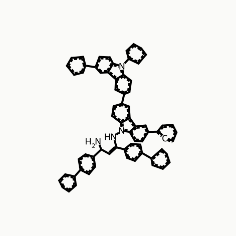 NC(/C=C(\Nn1c2ccc(-c3ccccc3)cc2c2cc(-c3ccc4c(c3)c3cc(-c5ccccc5)ccc3n4-c3ccccc3)ccc21)c1ccc(-c2ccccc2)cc1)c1ccc(-c2ccccc2)cc1